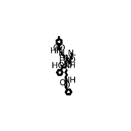 CC(=O)[C@](CCCCNS(=O)(=O)c1ccc(C)cc1)(NC(=O)[C@H](C)N)C(=O)N[C@@H](CCCCNC(=O)OCc1ccccc1)C(O)c1ccccc1